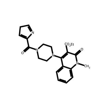 CCOC(=O)c1c(N2CCN(C(=O)C3=CCC=N3)CC2)c2ccccc2n(C)c1=O